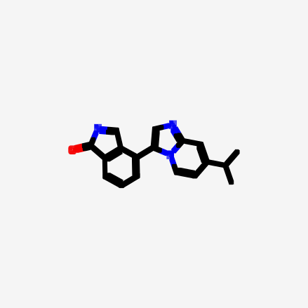 CC(C)c1ccn2c(-c3cccc4c3C=NC4=O)cnc2c1